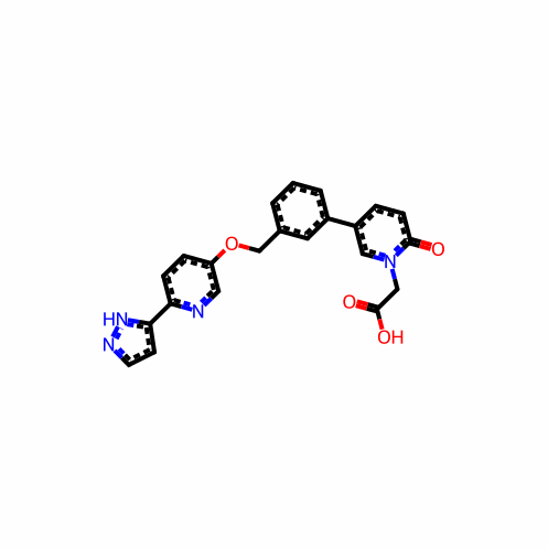 O=C(O)Cn1cc(-c2cccc(COc3ccc(-c4ccn[nH]4)nc3)c2)ccc1=O